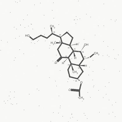 CC[C@H]1[C@@H](O)[C@H]2[C@@H]3CC[C@H]([C@H](C)CCCO)[C@@]3(C)CC(=O)[C@@H]2[C@@]2(C)CC[C@@H](OC(C)=O)C[C@@H]12